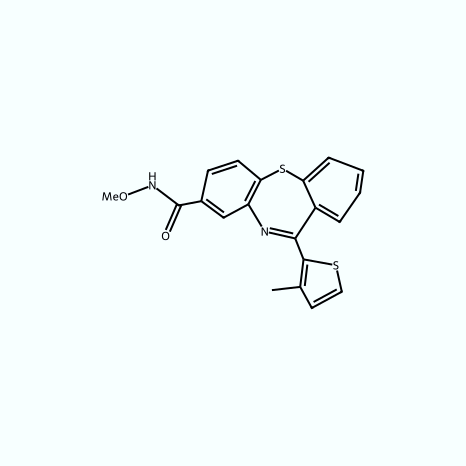 CONC(=O)c1ccc2c(c1)N=C(c1sccc1C)c1ccccc1S2